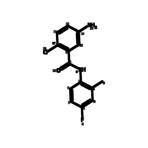 Cc1cc(F)ccc1NC(=O)c1cc(N)ccc1Cl